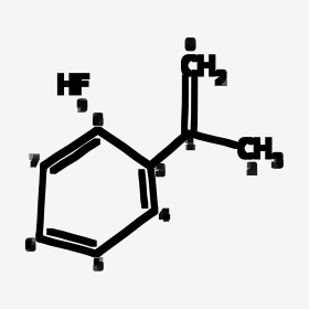 C=C(C)c1ccccc1.F